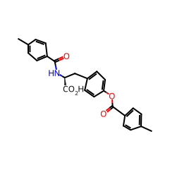 Cc1ccc(C(=O)N[C@@H](Cc2ccc(OC(=O)c3ccc(C)cc3)cc2)C(=O)O)cc1